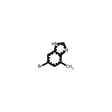 Cc1cc(Br)cc2[nH]cnc12